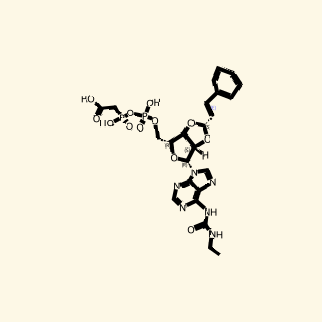 CCNC(=O)Nc1ncnc2c1ncn2[C@@H]1O[C@H](COP(=O)(O)OP(=O)(O)CC(=O)O)C2O[C@H](/C=C/c3ccccc3)O[C@@H]21